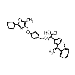 C=C(c1cccc(C(=NOCc2ccc(OCc3nc(-c4ccccc4)oc3C)cc2)C(=O)O)c1)c1ccccc1I